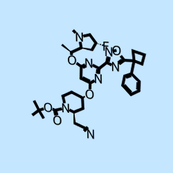 C[C@H](Oc1cc(O[C@H]2CCN(C(=O)OC(C)(C)C)[C@H](CC#N)C2)nc(-c2noc(C3(c4ccccc4)CCC3)n2)n1)[C@@H]1C[C@@H](F)CN1C